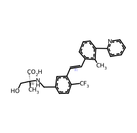 Cc1c(/C=C/c2cc(CN[C@@](C)(CO)C(=O)O)ccc2C(F)(F)F)cccc1-c1ccccn1